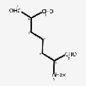 CCCCCCC(C=O)CCCC(C=O)C=O